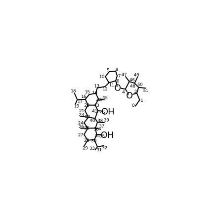 CCC1OC(OC2CCCCC2CCC2CC(C(C)C)C3CC4(C)CC5(C)CC(C)C(C(C)C)C(O)C5(C)C(C)C4C(O)C3C2C)C(C)C(C)C1C